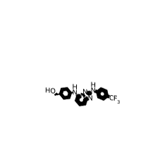 OC[C@H]1CC[C@@H](Nc2cccc3nc(Nc4ccc(C(F)(F)F)cc4)nn23)CC1